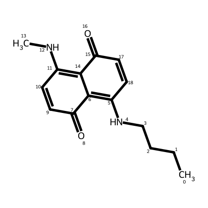 CCCCNC1=C2C(=O)C=CC(NC)=C2C(=O)C=C1